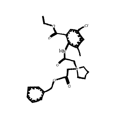 CCOC(=O)c1cc(Cl)cc(C)c1NC(=O)C[N+]1(CC(=O)OCc2ccccc2)CCCC1